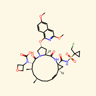 COc1ccc2c(O[C@@H]3C[C@H]4C(=O)N[C@]5(C(=O)NS(=O)(=O)C6(CF)CC6)C[C@H]5/C=C\CC[C@@H](C)C[C@@H](C)[C@H](N(C(=O)O)C5COC5)C(=O)N4C3)nc(OC)cc2c1